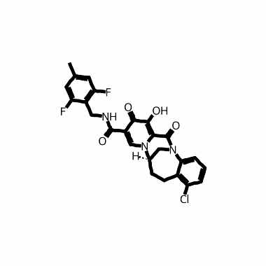 Cc1cc(F)c(CNC(=O)c2cn3c(c(O)c2=O)C(=O)N2C[C@H]3CCc3c(Cl)cccc32)c(F)c1